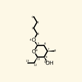 CCCCO[C@H]1C[C@@H](C)[C@@H](O)[C@@H](CC)O1